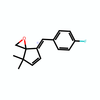 CC1(C)C=C/C(=C\c2ccc(F)cc2)C12CO2